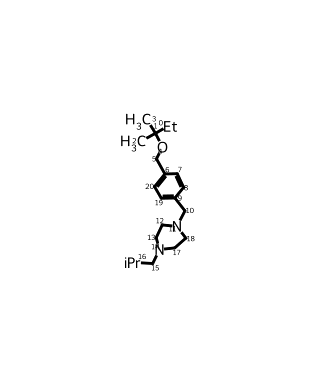 CCC(C)(C)OCc1ccc(CN2CCN(CC(C)C)CC2)cc1